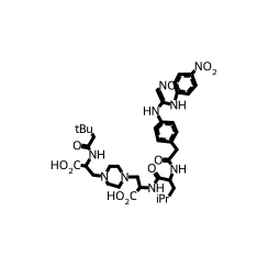 CC(C)CC(NC(=O)Cc1ccc(N/C(=C/[N+](=O)[O-])Nc2ccc([N+](=O)[O-])cc2)cc1)C(=O)NC(CN1CCN(CC(NC(=O)CC(C)(C)C)C(=O)O)CC1)C(=O)O